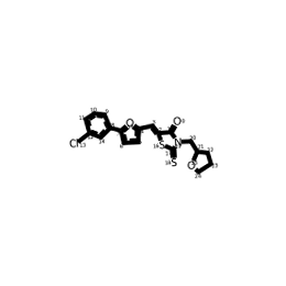 O=C1C(=Cc2ccc(-c3cccc(Cl)c3)o2)SC(=S)N1CC1CCCO1